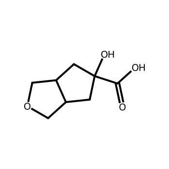 O=C(O)C1(O)CC2COCC2C1